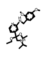 CCOC(CNC(C)C)(OCC)c1ccnc(NCc2ccc(OC)cc2OC)c1